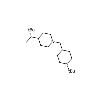 C[C@@H](C1CCN(CC2CCN(C(C)(C)C)CC2)CC1)C(C)(C)C